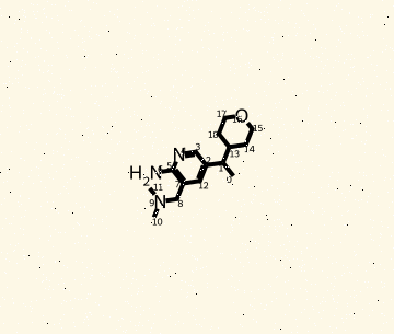 CC(c1cnc(N)c(CN(C)C)c1)C1CCOCC1